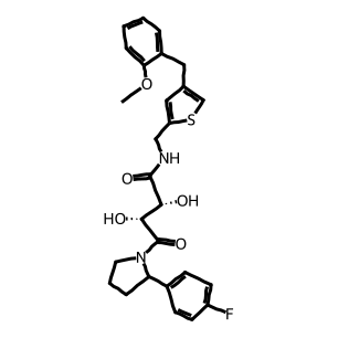 COc1ccccc1Cc1csc(CNC(=O)[C@H](O)[C@@H](O)C(=O)N2CCCC2c2ccc(F)cc2)c1